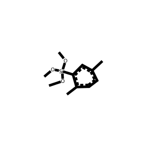 CO[Si](OC)(OC)c1cc(C)ccc1C